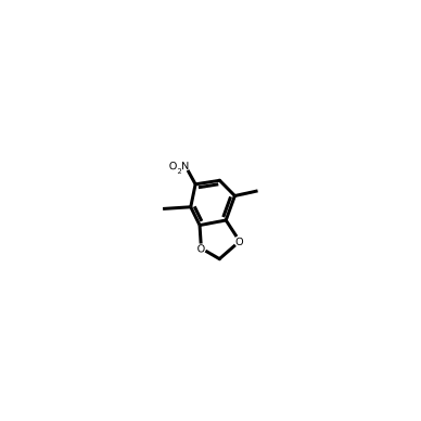 Cc1cc([N+](=O)[O-])c(C)c2c1OCO2